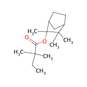 CCC(C)(C)C(=O)OC1(C)C2CCC(C2)C1(C)C